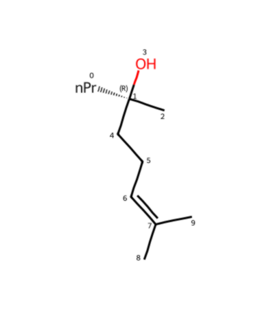 CCC[C@@](C)(O)CCC=C(C)C